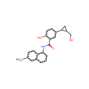 O=C(O)c1ccc2c(NC(=O)c3cc(C4CC4CO)ccc3O)cccc2c1